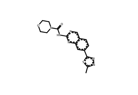 Cc1nnc(-c2ccc3cnc(NC(=O)N4CCOCC4)nc3c2)s1